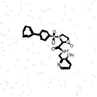 O=C(NCc1ncccc1O)C1N(S(=O)(=O)c2ccc(-c3ccccc3)cc2)CC[S+]1[O-]